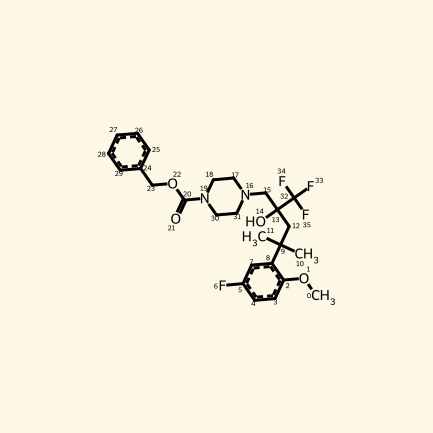 COc1ccc(F)cc1C(C)(C)CC(O)(CN1CCN(C(=O)OCc2ccccc2)CC1)C(F)(F)F